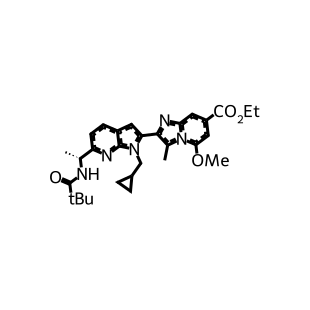 CCOC(=O)c1cc(OC)n2c(C)c(-c3cc4ccc([C@@H](C)NC(=O)C(C)(C)C)nc4n3CC3CC3)nc2c1